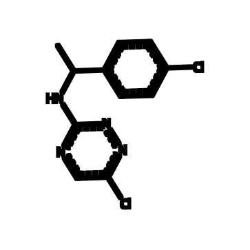 CC(Nc1ncc(Cl)nn1)c1ccc(Cl)cc1